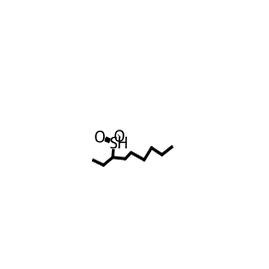 CCCCCCC(CC)[SH](=O)=O